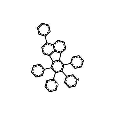 c1ccc(-c2c(-c3cccnc3)c(-c3ccccn3)c(-c3ccccc3)c3c2-c2cccc4c(-c5ccccc5)ccc-3c24)cc1